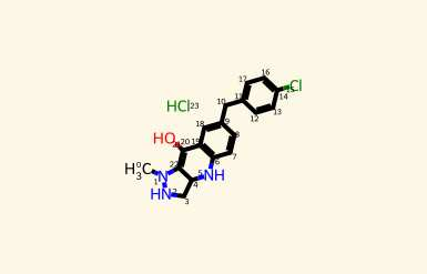 CN1NCC2Nc3ccc(Cc4ccc(Cl)cc4)cc3C(O)=C21.Cl